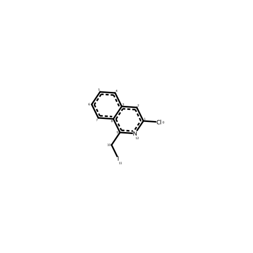 Clc1cc2ccccc2c(CI)n1